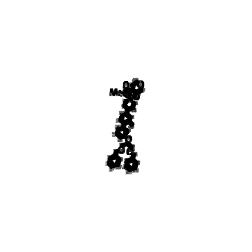 COC(=O)C1(S(=O)(=O)N2CCC(c3ccc(-c4cccc(OC(COCc5ccccc5)COCc5ccccc5)c4)c(C)c3)CC2)CCOCC1